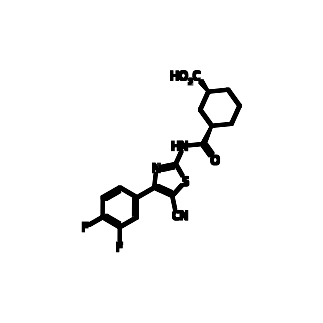 N#Cc1sc(NC(=O)[C@@H]2CCC[C@H](C(=O)O)C2)nc1-c1ccc(F)c(F)c1